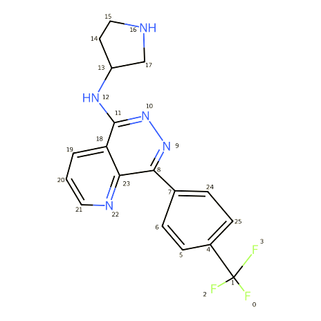 FC(F)(F)c1ccc(-c2nnc(NC3CCNC3)c3cccnc23)cc1